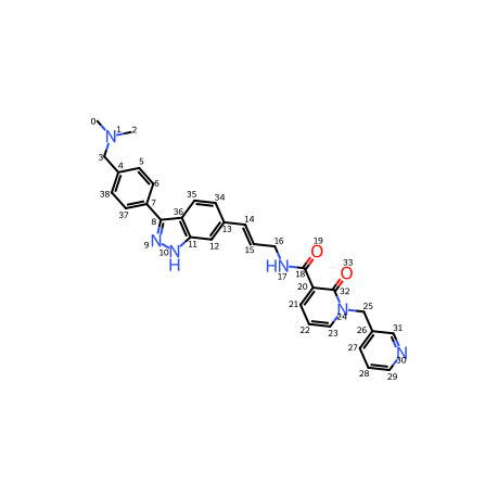 CN(C)Cc1ccc(-c2n[nH]c3cc(C=CCNC(=O)c4cccn(Cc5cccnc5)c4=O)ccc23)cc1